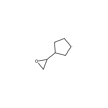 [CH]1CCC(C2CO2)C1